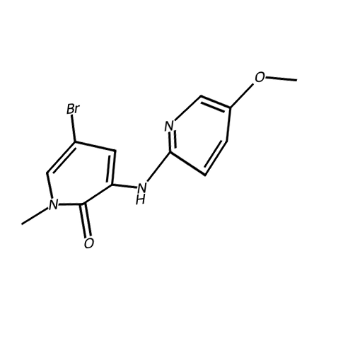 COc1ccc(Nc2cc(Br)cn(C)c2=O)nc1